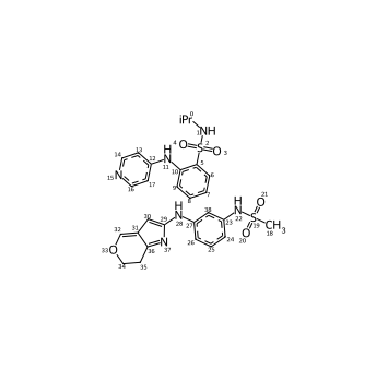 CC(C)NS(=O)(=O)c1ccccc1Nc1ccncc1.CS(=O)(=O)Nc1cccc(NC2=CC3=COCCC3=N2)c1